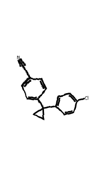 N#Cc1ccc(C2(c3ccc(Cl)cc3)CC2)cc1